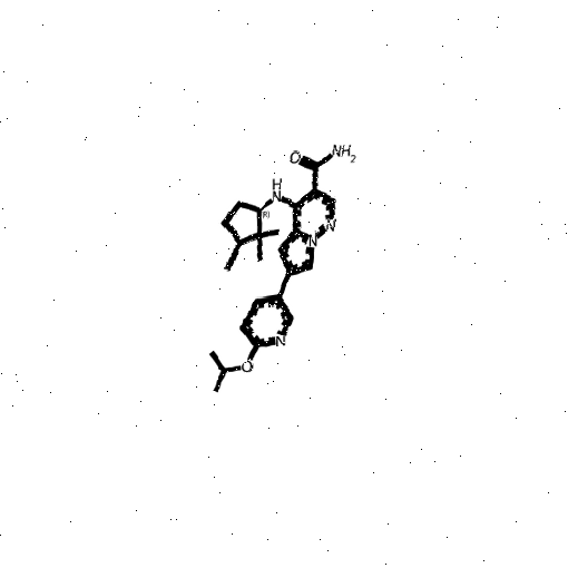 CC(C)Oc1ccc(-c2cc3c(N[C@@H]4CCC(C)C4(C)C)c(C(N)=O)cnn3c2)cn1